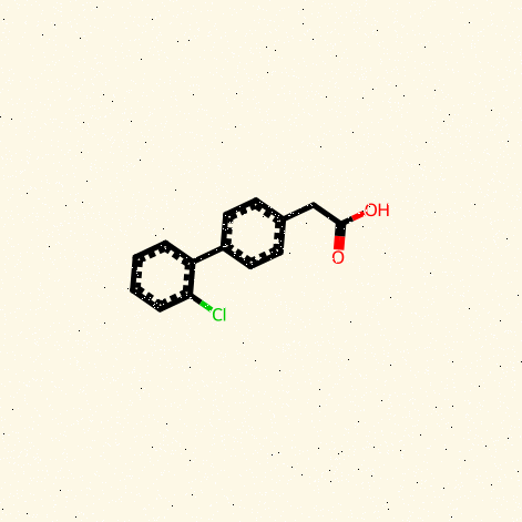 O=C(O)Cc1ccc(-c2ccccc2Cl)cc1